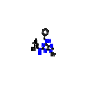 CC[C@H](C[SiH](C)C)Nc1nc(NCc2ccccc2)c2ncn(C(C)C)c2n1